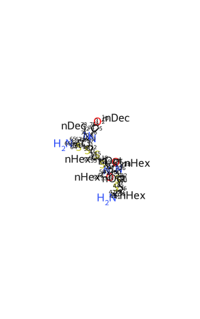 CCCCCCCCCCCCOc1ccc(C2=NC3c4cc(-c5sc(-c6ccc(C7=C8C(=O)N(CC(CCCCCC)CCCCCCCC)C(c9ccc(-c%10cc(CCCCCC)c(C(C)(C)N)s%10)s9)=C8C(=O)N7CC(CCCCCC)CCCCCCCC)s6)cc5CCCCCC)sc4-c4sc(C(C)(C)N)cc4C3N2CCCCCCCCCCCC)cc1